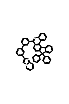 c1ccc(C2(c3ccccc3)c3ccccc3-c3c2ccc2c(-c4cccc(-c5cccc(-c6cn7ccccc7n6)c5)c4)nc4ccccc4c32)cc1